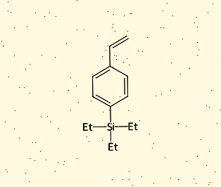 C=Cc1ccc([Si](CC)(CC)CC)cc1